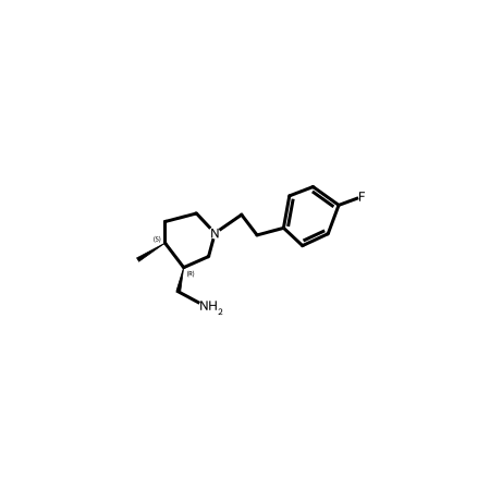 C[C@H]1CCN(CCc2ccc(F)cc2)C[C@H]1CN